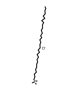 CCCCCCCCCCCCCCCCCCCCCCCCCCCCCCC[P+](C)(C)C.[Cl-]